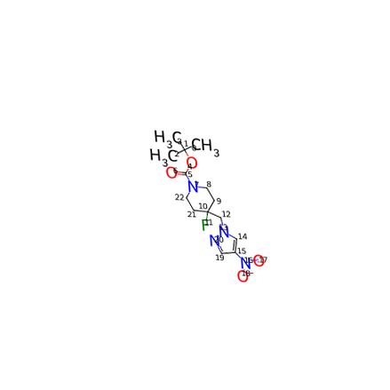 CC(C)(C)OC(=O)N1CCC(F)(Cn2cc([N+](=O)[O-])cn2)CC1